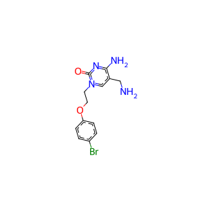 NCc1cn(CCOc2ccc(Br)cc2)c(=O)nc1N